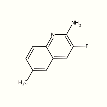 Cc1ccc2nc(N)c(F)cc2c1